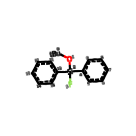 CC(C)(C)O[Si](F)(c1ccccc1)c1ccccc1